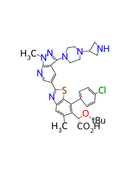 Cc1cc2nc(-c3cnc4c(c3)c(N3CCN(C5CNC5)CC3)nn4C)sc2c(-c2ccc(Cl)cc2)c1[C@H](OC(C)(C)C)C(=O)O